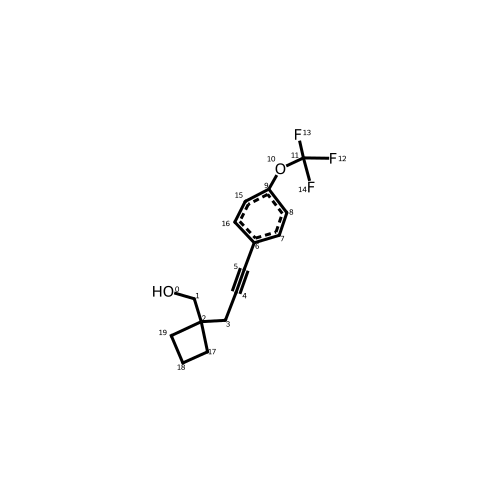 OCC1(CC#Cc2ccc(OC(F)(F)F)cc2)CCC1